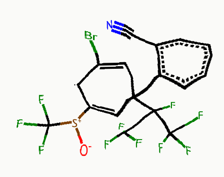 N#Cc1ccccc1C1(C(F)(C(F)(F)F)C(F)(F)F)C=C(Br)[CH]C([S+]([O-])C(F)(F)F)=C1